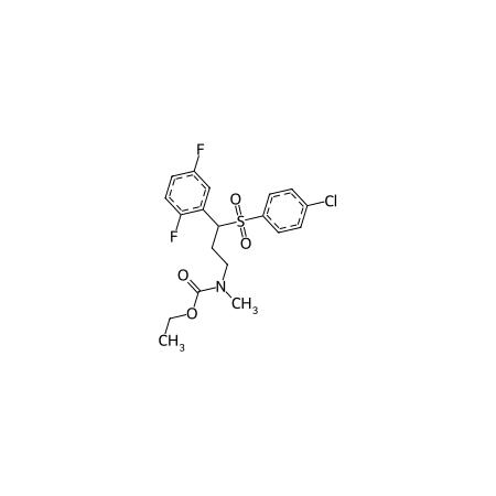 CCOC(=O)N(C)CCC(c1cc(F)ccc1F)S(=O)(=O)c1ccc(Cl)cc1